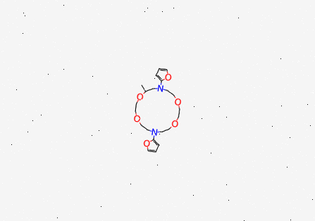 CC1CN(c2ccco2)CCOCCOCCN(c2ccco2)CCOCCO1